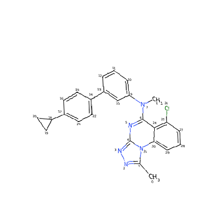 Cc1nnc2nc(N(C)c3cccc(-c4ccc(C5CC5)cc4)c3)c3c(Cl)cccc3n12